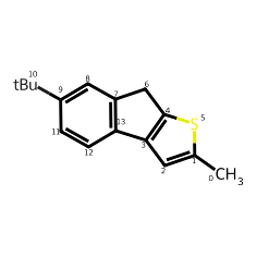 Cc1cc2c(s1)Cc1cc(C(C)(C)C)ccc1-2